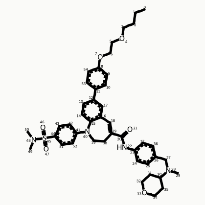 CCCCOCCOc1ccc(-c2ccc3c(c2)C=C(C(=O)Nc2ccc(CN(C)C4CCOCC4)cc2)CCN3c2ccc(S(=O)(=O)N(C)C)cc2)cc1